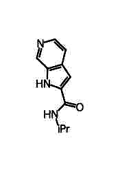 CC(C)NC(=O)c1cc2ccncc2[nH]1